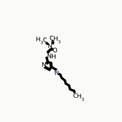 CCCCCCCC/N=C/c1ccnc(CNCC(=O)N(CC)CC)c1